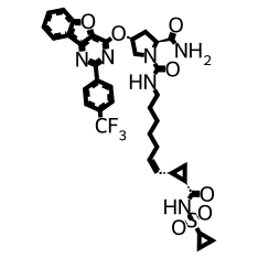 NC(=O)[C@@H]1C[C@@H](Oc2nc(-c3ccc(C(F)(F)F)cc3)nc3c2oc2ccccc23)CN1C(=O)NCCCCC/C=C\[C@@H]1C[C@@H]1C(=O)NS(=O)(=O)C1CC1